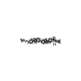 CN(C)CCCSc1ccc(-c2nc3cc(-c4ccc5[nH]c(-c6ccc(C(=O)NCCN(C)C)cc6)nc5c4)ccc3[nH]2)cc1